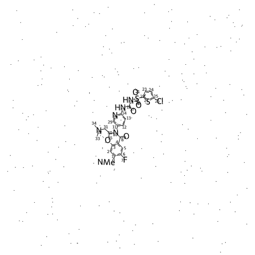 CNc1cc2c(cc1F)C(=O)N(c1ccc(NC(=O)NS(=O)(=O)c3ccc(Cl)s3)nc1)C(CN(C)C)O2